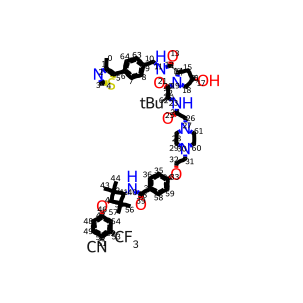 Cc1ncsc1-c1ccc(CNC(=O)[C@@H]2C[C@@H](O)CN2C(=O)[C@@H](NC(=O)CN2CCN(CCOc3ccc(C(=O)N[C@H]4C(C)(C)[C@H](Oc5ccc(C#N)c(C(F)(F)F)c5)C4(C)C)cc3)CC2)C(C)(C)C)cc1